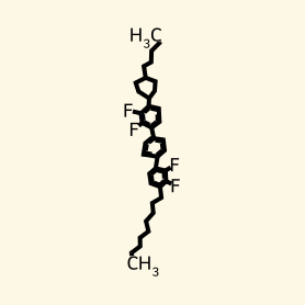 CCCCCCCCCc1ccc(-c2ccc(-c3ccc(C4CCC(CCCCC)CC4)c(F)c3F)cc2)c(F)c1F